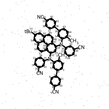 Cc1ccc(-c2ccc(C#N)cc2)cc1N(c1cccc(C#N)c1)c1cc(N(c2cccc(C#N)c2)c2cc(-c3ccc(C#N)cc3)ccc2C)c2ccc3cc(C(C)(C)C)cc4ccc1c2c43